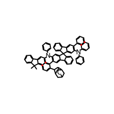 CC1(C)c2ccccc2-c2cc(N(c3ccccc3)c3cc4c(cc3-c3ccccc3C3C5CC6CC(C5)C3C6)-c3ccccc3C43c4ccccc4-c4cc(-c5ccccc5)c(N(c5ccccc5)c5ccccc5)cc43)ccc21